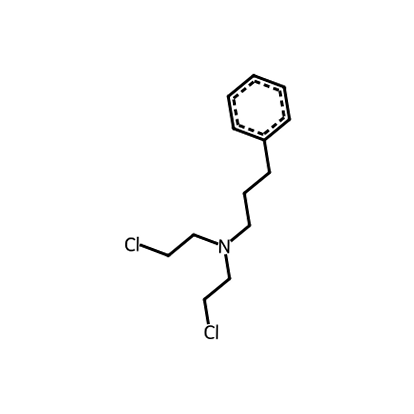 ClCCN(CCCl)CCCc1ccccc1